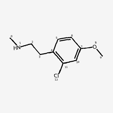 CNCCc1ccc(OC)cc1Cl